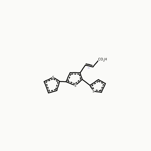 O=C(O)/C=C/c1cc(-c2cccs2)sc1-c1cccs1